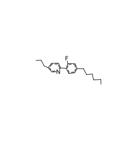 CCCCCCc1ccc(-c2ccc(CCC)cn2)c(F)c1